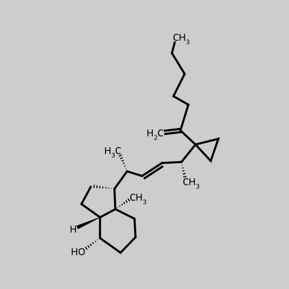 C=C(CCCCC)C1([C@H](C)/C=C/[C@@H](C)[C@H]2CC[C@H]3[C@@H](O)CCC[C@]23C)CC1